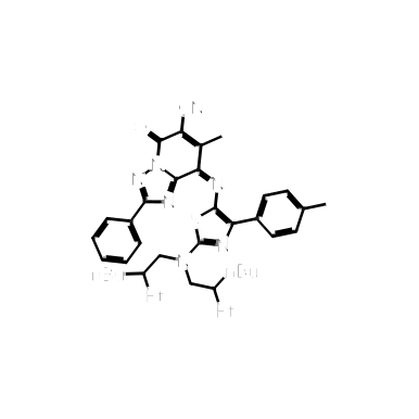 CCCCC(CC)CN(CC(CC)CCCC)c1nc(-c2ccc(C)cc2)c(/N=C2/C(C)=C(C#N)C(=O)n3nc(-c4ccccc4)nc32)s1